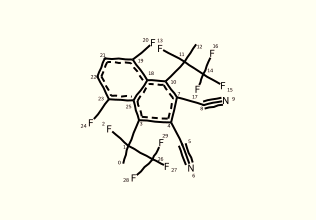 CC(F)(c1c(C#N)c(C#N)c(C(C)(F)C(F)(F)F)c2c(F)ccc(F)c12)C(F)(F)F